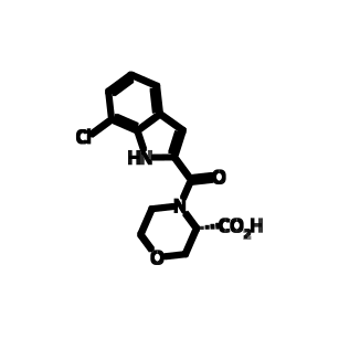 O=C(O)[C@@H]1COCCN1C(=O)c1cc2cccc(Cl)c2[nH]1